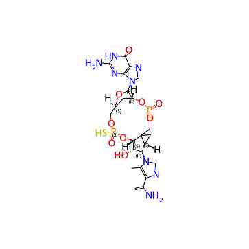 C=C(N)c1ncn([C@H]2[C@H](O)[C@@H]3O[P@@](=O)(S)OC[C@@H]4C[C@@H](O[PH](=O)OCC35C[C@H]25)[C@H](n2cnc3c(=O)[nH]c(N)nc32)O4)c1C